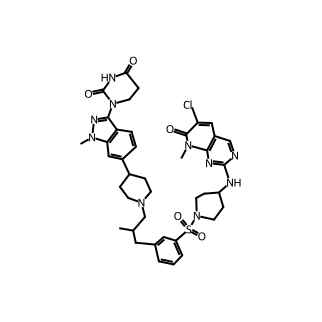 CC(Cc1cccc(S(=O)(=O)N2CCC(Nc3ncc4cc(Cl)c(=O)n(C)c4n3)CC2)c1)CN1CCC(c2ccc3c(N4CCC(=O)NC4=O)nn(C)c3c2)CC1